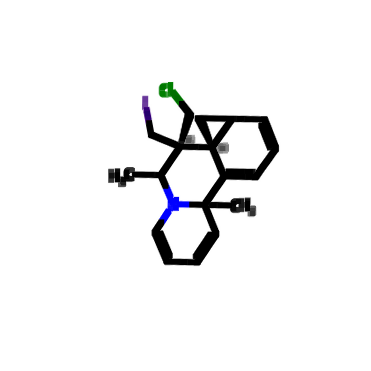 CC1N2C=CC=CC2(C)C2=CC=CC3C[C@]23[C@@]1(CCl)CI